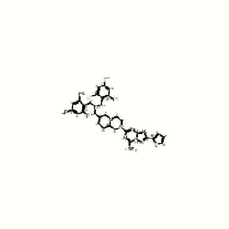 Nc1nc(N2CCN3CC(CN(Cc4c(F)cc(F)cc4F)Cc4c(F)cc(F)cc4F)CCC3C2)nc2nc(-c3ccco3)nn12